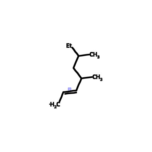 [CH2]/C=C/C(C)CC(C)CC